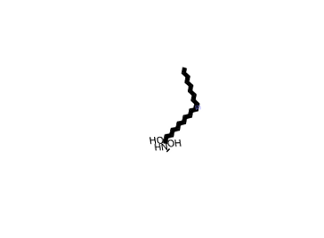 CCCCCCCC/C=C\CCCCCCCCCC(O)(O)NC